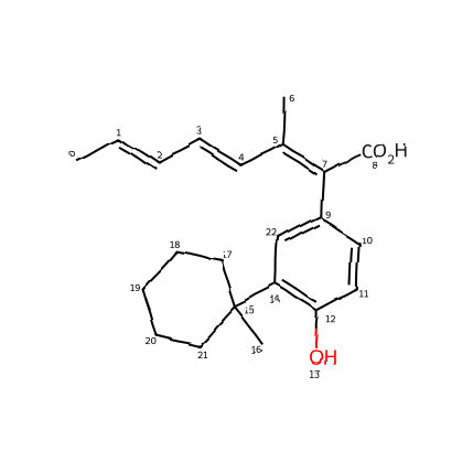 CC=CC=CC(C)=C(C(=O)O)c1ccc(O)c(C2(C)CCCCC2)c1